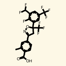 Cc1cc(C2=NOC(c3cc(C(F)(F)F)cc(C(F)F)c3F)(C(F)(F)F)C2)ccc1C(=O)O